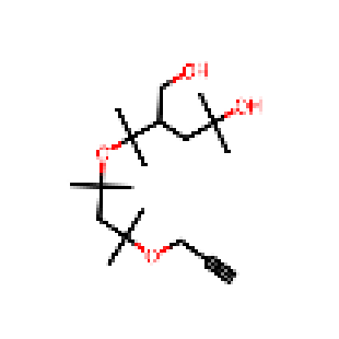 C#CCOC(C)(C)CC(C)(C)OC(C)(C)C(CO)CC(C)(C)O